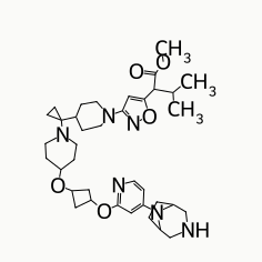 COC(=O)C(c1cc(N2CCC(C3(N4CCC(OC5CC(Oc6cc(N7C8CCC7CNC8)ccn6)C5)CC4)CC3)CC2)no1)C(C)C